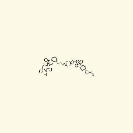 Cc1ccc(S(=O)(=O)OC2CC3(CCN(CCCc4cccc5c4CN(C4CCC(=O)NC4=O)C5=O)CC3)C2)cc1